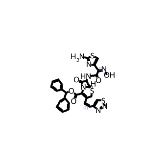 Nc1nc(/C(=N/O)C(=O)NC2C(=O)N3C(C(=O)OC(c4ccccc4)c4ccccc4)=C(/C=C\c4csnn4)CS[C@H]23)cs1